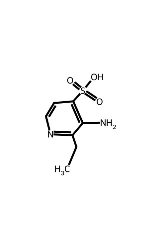 CCc1nccc(S(=O)(=O)O)c1N